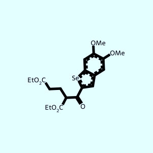 CCOC(=O)CCC(C(=O)OCC)C(=O)c1cc2cc(OC)c(OC)cc2[se]1